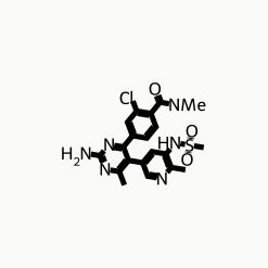 CNC(=O)c1ccc(-c2nc(N)nc(C)c2-c2cnc(C)c(NS(C)(=O)=O)c2)cc1Cl